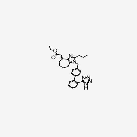 CCCc1nc2c(n1Cc1ccc(-c3ccccc3-c3nnn[nH]3)cc1)CCCCC2=CC(=O)OCC